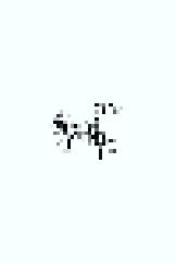 CC(=O)OCCc1c(C)c(Sc2ccc(S(C)(=O)=O)cc2Cl)n2cc(F)c(Cl)cc12